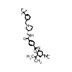 [C-]#[N+]c1cc(C(C)C)c2oc(-c3ccc(C(=O)NC[C@H]4CCCN(Cc5cccc(C(F)(F)F)c5)C4)cc3)nc2c1